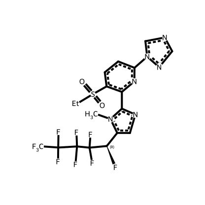 CCS(=O)(=O)c1ccc(-n2cncn2)nc1-c1ncc([C@@H](F)C(F)(F)C(F)(F)C(F)(F)C(F)(F)F)n1C